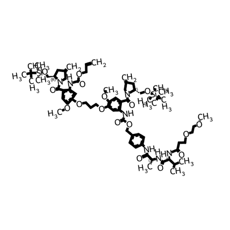 C=CCOC(=O)Nc1cc(OCCCOc2cc(NC(=O)OCc3ccc(NC(=O)[C@H](C)NC(=O)[C@@H](NC(=O)CCOCCOC)C(C)C)cc3)c(C(=O)N3CC(=C)C[C@@H]3CO[Si](C)(C)C(C)(C)C)cc2OC)c(OC)cc1C(=O)N1CC(=C)C[C@@H]1CO[Si](C)(C)C(C)(C)C